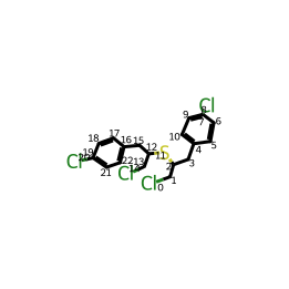 ClCC(Cc1ccc(Cl)cc1)SC(CCl)Cc1ccc(Cl)cc1